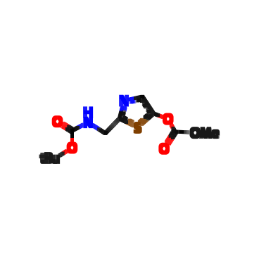 COC(=O)Oc1cnc(CNC(=O)OC(C)(C)C)s1